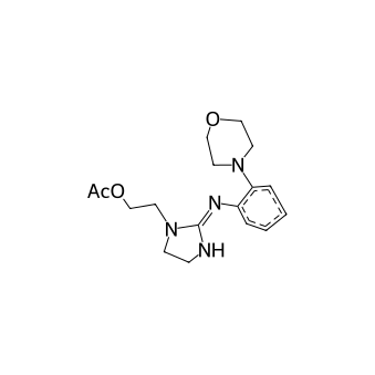 CC(=O)OCCN1CCN/C1=N\c1ccccc1N1CCOCC1